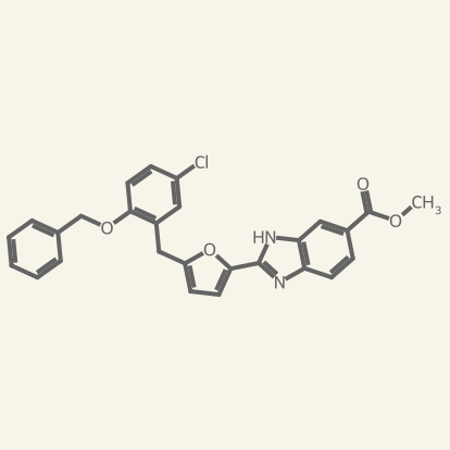 COC(=O)c1ccc2nc(-c3ccc(Cc4cc(Cl)ccc4OCc4ccccc4)o3)[nH]c2c1